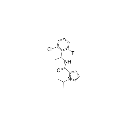 CC(NC(=O)c1cccn1C(C)C)c1c(F)cccc1Cl